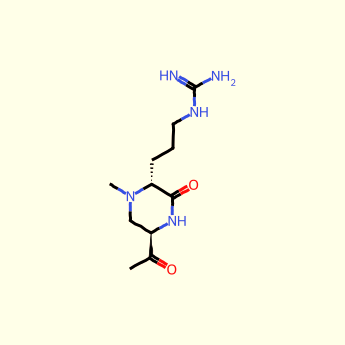 CC(=O)[C@H]1CN(C)[C@H](CCCNC(=N)N)C(=O)N1